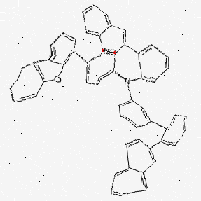 C1=Cc2oc3c(-c4ccc(N(c5cccc(-c6ccccc6-c6ccc7ccccc7c6)c5)c5ccccc5-c5ccc6ccccc6c5)cc4)cccc3c2CC1